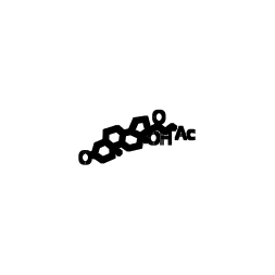 CC(=O)CCC(=O)C1(O)CCC2C3CCC4CC(=O)CCC4(C)C3CCC21C